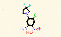 Nc1cc(N2CCC(F)(F)C2)c(Cl)cc1[NH+]([O-])O